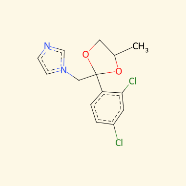 CC1COC(Cn2ccnc2)(c2ccc(Cl)cc2Cl)O1